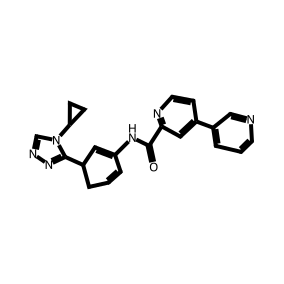 O=C(NC1=CC(c2nncn2C2CC2)CC=C1)c1cc(-c2cccnc2)ccn1